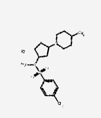 Cc1ccc(S(=O)(=O)N(C)C2CCC(N3CCC(C)CC3)C2)cc1.Cl